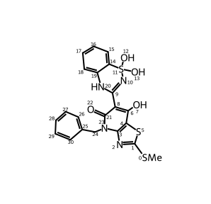 CSc1nc2c(s1)c(O)c(C1=NS(O)(O)c3ccccc3N1)c(=O)n2Cc1ccccc1